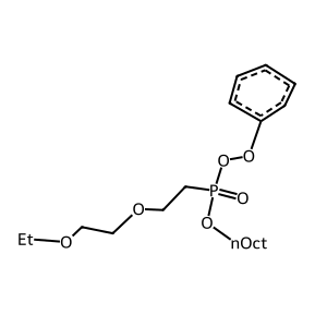 CCCCCCCCOP(=O)(CCOCCOCC)OOc1ccccc1